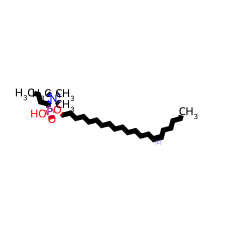 CCCCC/C=C\CCCCCCCCCCCCCCOP(=O)(O)C(CCC)[N+](C)(C)C